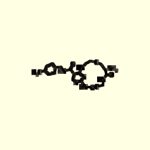 Cc1ccc(CNC(=O)c2cnc3nc2NCCCC[C@H](N)C(=O)NCCCN3)cc1